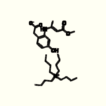 CCCC[N+](CCCC)(CCCC)CCCC.COC(=O)C=C(C)Nc1cc(O)ccc1CC(=O)[O-]